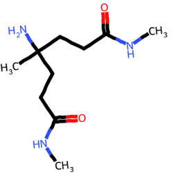 CNC(=O)CCC(C)(N)CCC(=O)NC